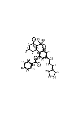 CC1CC(=O)C2=C(C1)c1c(OC(=O)c3ccccc3)cc(CCCC3CCCC3)cc1OC2(C)C